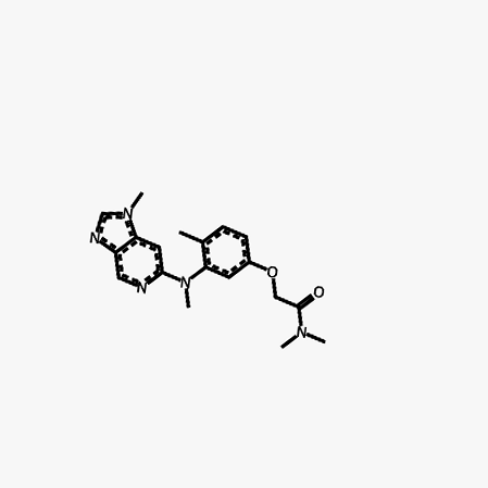 Cc1ccc(OCC(=O)N(C)C)cc1N(C)c1cc2c(cn1)ncn2C